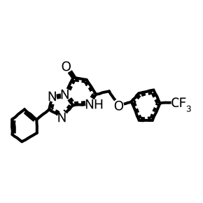 O=c1cc(COc2ccc(C(F)(F)F)cc2)[nH]c2nc(C3=CC=CCC3)nn12